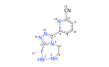 C[C@H]1NNCCn2c(-c3cccc(C#N)n3)nnc21